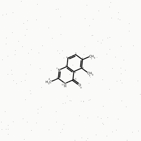 Cc1nc2ccc(C)c(C)c2c(=O)[nH]1